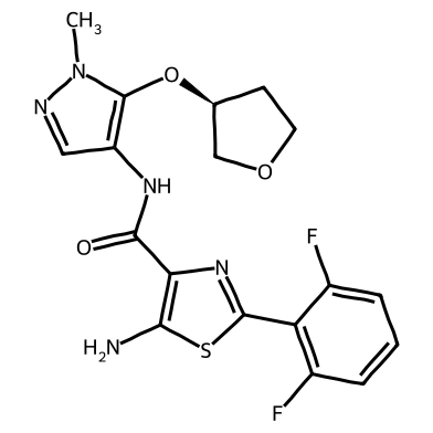 Cn1ncc(NC(=O)c2nc(-c3c(F)cccc3F)sc2N)c1O[C@H]1CCOC1